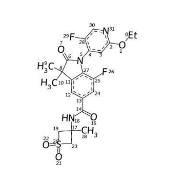 CCOc1cc(N2C(=O)C(C)(C)c3cc(C(=O)NC4(C)CS(=O)(=O)C4)cc(F)c32)c(F)cn1